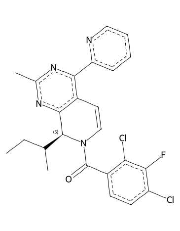 CCC(C)[C@H]1c2nc(C)nc(-c3ccccn3)c2C=CN1C(=O)c1ccc(Cl)c(F)c1Cl